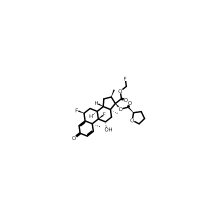 C[C@@H]1C[C@H]2[C@@H]3C[C@H](F)C4=CC(=O)C=C[C@]4(C)[C@@]3(F)[C@@H](O)C[C@]2(C)[C@@]1(OC(=O)[C@H]1CCCO1)C(=O)OCF